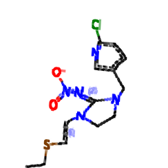 CCS/C=C/N1CCN(Cc2ccc(Cl)nc2)/C1=N/[N+](=O)[O-]